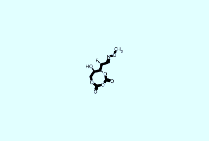 CON=C[C@@H](F)[C@@H]1OC(=O)OC(=O)OC[C@H]1O